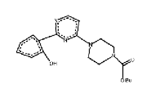 CC(C)COC(=O)N1CCN(c2ccnc(-c3ccccc3O)n2)CC1